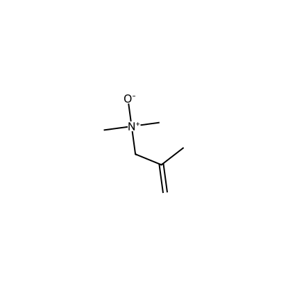 C=C(C)C[N+](C)(C)[O-]